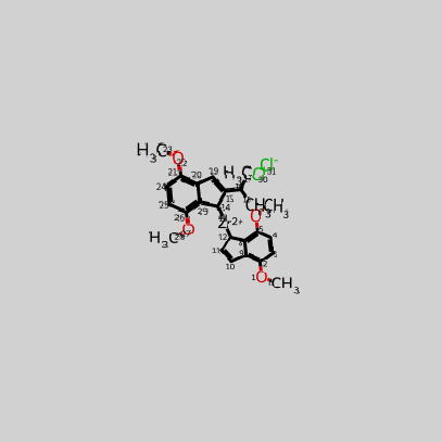 COc1ccc(OC)c2c1C=C[CH]2[Zr+2][CH]1C(C(C)C)=Cc2c(OC)ccc(OC)c21.[Cl-].[Cl-]